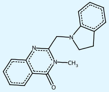 Cn1c(CN2CCc3ccccc32)nc2ccccc2c1=O